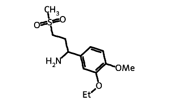 CCOc1cc(C(N)CCS(C)(=O)=O)ccc1OC